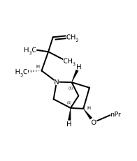 C=CC(C)(C)[C@@H](C)N1C[C@@H]2C[C@H]1C[C@H]2OCCC